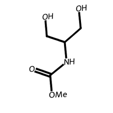 COC(=O)NC(CO)CO